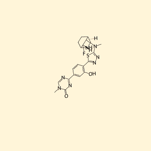 CN(c1nnc(-c2ccc(-c3ncn(C)c(=O)n3)cc2O)s1)[C@@H]1C2CCC(NC2)[C@H]1F